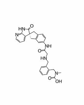 CN(Cc1ccccc1CNCC(=O)Nc1ccc2c(c1)C[C@@]1(C2)C(=O)Nc2ncccc21)C(=O)O